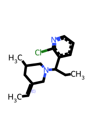 C/C=C1\CC(C)CN(C(CC)c2cccnc2Cl)C1